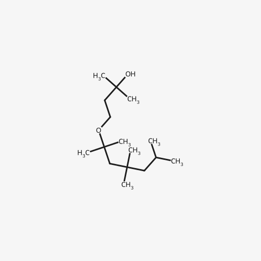 CC(C)CC(C)(C)CC(C)(C)OCCC(C)(C)O